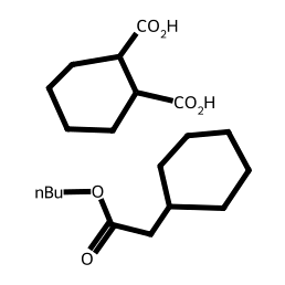 CCCCOC(=O)CC1CCCCC1.O=C(O)C1CCCCC1C(=O)O